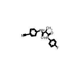 CC(C(=O)Nc1ccc(F)cc1)C(=O)Nc1ccc(C#N)cc1